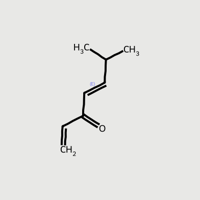 C=CC(=O)/C=C/C(C)C